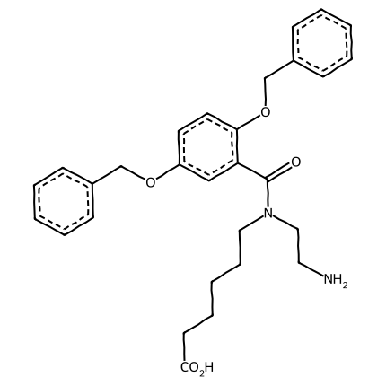 NCCN(CCCCCC(=O)O)C(=O)c1cc(OCc2ccccc2)ccc1OCc1ccccc1